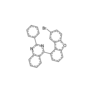 Brc1ccc2oc3cccc(-c4nc(-c5ccccc5)nc5ccccc45)c3c2c1